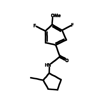 COc1c(F)cc(C(=O)NC2CCCC2C)cc1F